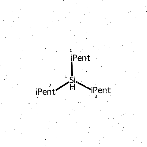 CCCC(C)[SiH](C(C)CCC)C(C)CCC